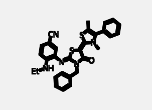 CCNc1ccc(C#N)cc1N=C1S/C(=C2\SC(C)=C(c3ccccc3)N2C)C(=O)N1Cc1ccccc1